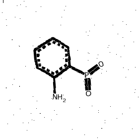 Nc1ccccc1P(=O)=O